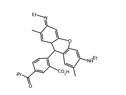 CC/N=C1/C=C2Oc3cc(NCC)c(C)cc3C(c3ccc(C(=O)C(C)C)cc3C(=O)O)C2C=C1C